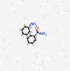 NC(=O)c1ccccc1.Nc1ccccc1